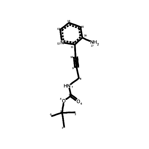 CC(C)(C)OC(=O)NCC#Cc1ncccc1N